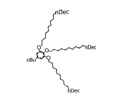 [CH2]CCCc1cc(OCCCCCCCCCCCCCCCCCCCC)c(OCCCCCCCCCCCCCCCCCCCC)c(OCCCCCCCCCCCCCCCCCCCC)c1